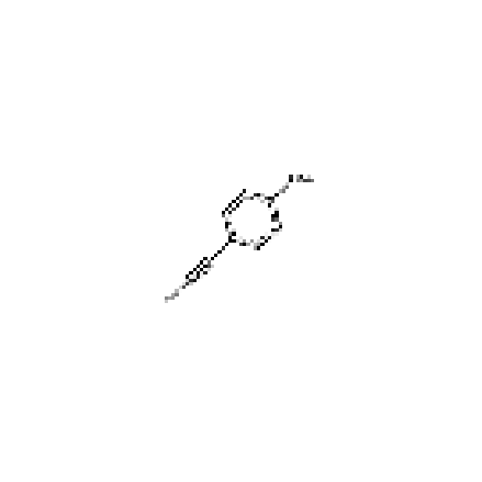 COc1ccc(C#CF)cc1